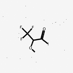 COC(C(=O)I)C(F)(F)F